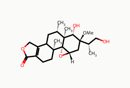 CO[C@@]1([C@@H](C)CO)C[C@@H]2O[C@]23[C@](C)([C@@H]1O)[C@@H](C)CC1C2=C(CC[C@@]13C)C(=O)OC2